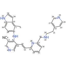 Cc1c(Nc2c(C#N)cncc2/C=C/c2cccc(CNCCc3ccncc3)n2)ccc2[nH]ccc12